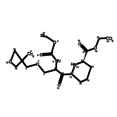 CC1(COCC(NC(=O)OC(C)(C)C)C(=O)N2CCC[C@@H](C(=O)OCC(Cl)(Cl)Cl)N2)COC1